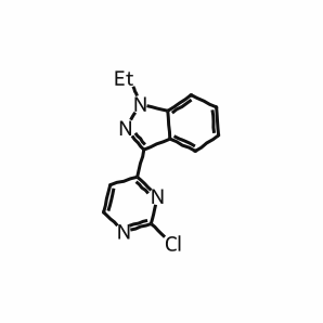 CCn1nc(-c2ccnc(Cl)n2)c2ccccc21